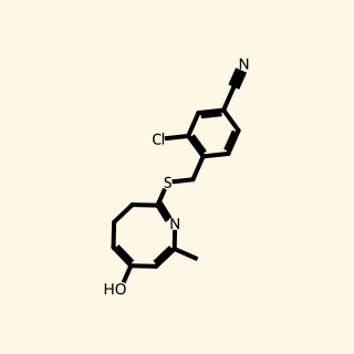 CC1=C/C(O)=C\CC/C(SCc2ccc(C#N)cc2Cl)=N\1